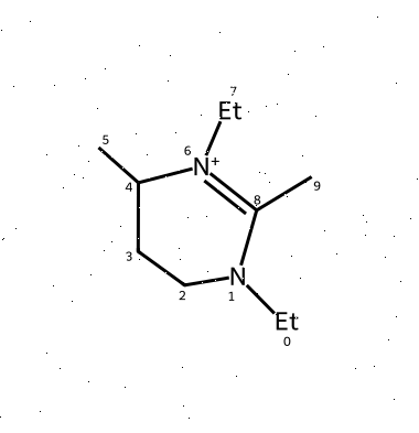 CCN1CCC(C)[N+](CC)=C1C